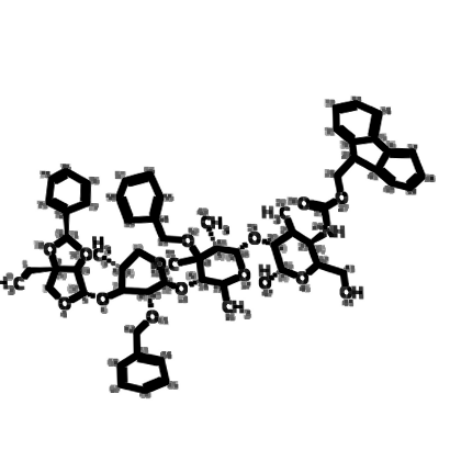 CC[C@]12CO[C@@H](OC3[C@H](C)CO[C@@H](O[C@H]4C(C)O[C@@H](O[C@@H]5C(C)[C@@H](NC(=O)OCC6c7ccccc7-c7ccccc76)C(CO)O[C@@H]5O)[C@@H](C)C4(C)OCc4ccccc4)[C@@H]3OCc3ccccc3)C1O[C@H](c1ccccc1)O2